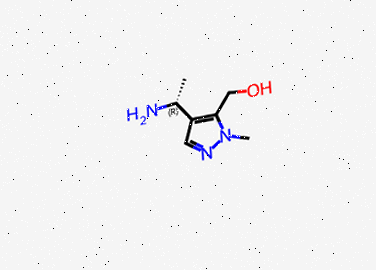 C[C@@H](N)c1cnn(C)c1CO